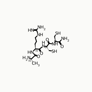 C[C@H](N)C(=O)N[C@@H](CCCNC(=N)N)C(=O)N[C@@H](CS)C(=O)N[C@@H](CS)C(N)=O